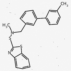 Cc1cccc(-c2cccc(CN(C)Sc3nc4ccccc4s3)c2)c1